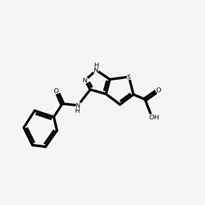 O=C(Nc1n[nH]c2sc(C(=O)O)cc12)c1ccccc1